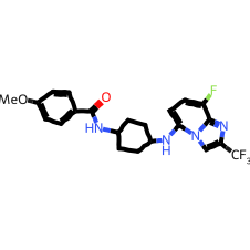 COc1ccc(C(=O)NC2CCC(Nc3ccc(F)c4nc(C(F)(F)F)cn34)CC2)cc1